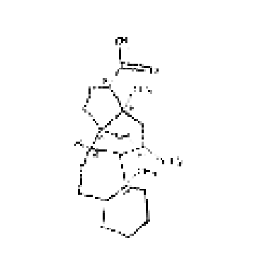 CC(=O)[C@H]1CC[C@]2(C)[C@@H]3CCC4CCCC[C@]4(C)C3[C@@H](C)C[C@]12C